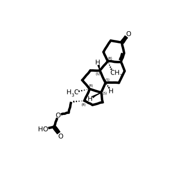 C[C@]12CC[C@H]3[C@@H](CCC4=CC(=O)CC[C@@]43C)[C@@H]1CC[C@@H]2CCOC(=O)O